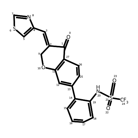 O=C1C(=Cc2cscn2)COc2cc(-c3ccccc3NS(=O)(=O)C(F)(F)F)ccc21